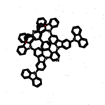 c1ccc(-c2cc(-c3ccc(-c4c(-n5c6ccc(-n7c8ccccc8c8ccccc87)cc6c6cc(-n7c8ccccc8c8ccccc87)ccc65)cncc4-n4c5ccc(-n6c7ccccc7c7ccccc76)cc5c5cc(-n6c7ccccc7c7ccccc76)ccc54)cc3)cc(-c3ccccc3)n2)cc1